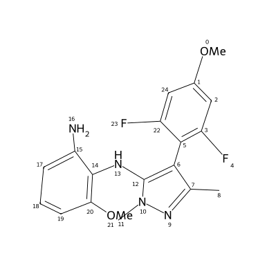 COc1cc(F)c(-c2c(C)nn(C)c2Nc2c(N)cccc2OC)c(F)c1